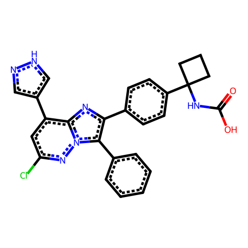 O=C(O)NC1(c2ccc(-c3nc4c(-c5cn[nH]c5)cc(Cl)nn4c3-c3ccccc3)cc2)CCC1